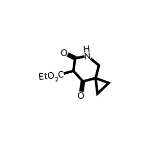 CCOC(=O)C1C(=O)NCC2(CC2)C1=O